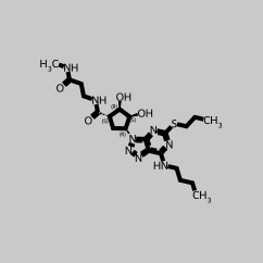 CCCCNc1nc(SCCC)nc2c1nnn2[C@@H]1C[C@H](C(=O)NCCC(=O)NC)[C@@H](O)[C@H]1O